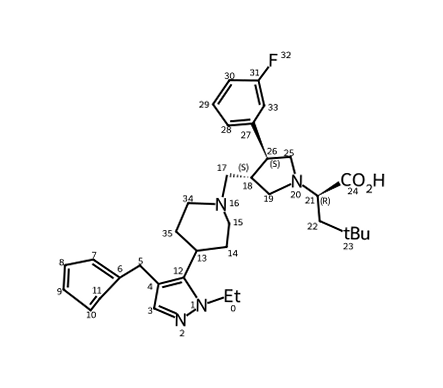 CCn1ncc(Cc2ccccc2)c1C1CCN(C[C@H]2CN([C@H](CC(C)(C)C)C(=O)O)C[C@@H]2c2cccc(F)c2)CC1